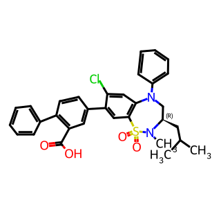 CC(C)C[C@@H]1CN(c2ccccc2)c2cc(Cl)c(-c3ccc(-c4ccccc4)c(C(=O)O)c3)cc2S(=O)(=O)N1C